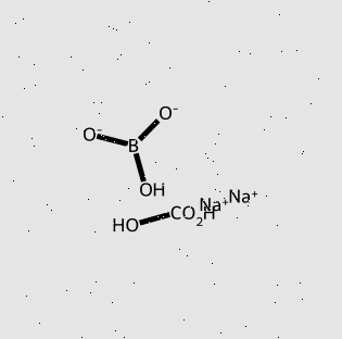 O=C(O)O.[Na+].[Na+].[O-]B([O-])O